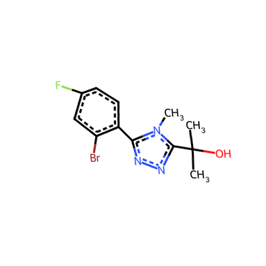 Cn1c(-c2ccc(F)cc2Br)nnc1C(C)(C)O